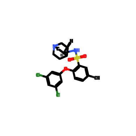 N#Cc1ccc(Oc2cc(Cl)cc(Cl)c2)c(S(=O)(=O)N[C@H]2CN3CCC2CC3)c1